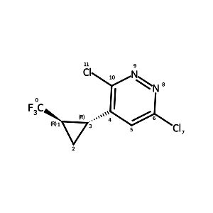 FC(F)(F)[C@@H]1C[C@H]1c1cc(Cl)nnc1Cl